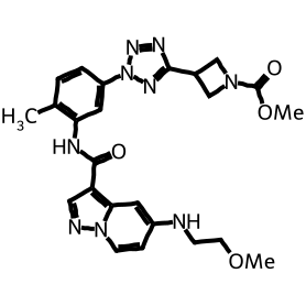 COCCNc1ccn2ncc(C(=O)Nc3cc(-n4nnc(C5CN(C(=O)OC)C5)n4)ccc3C)c2c1